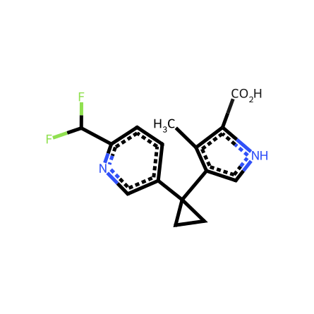 Cc1c(C2(c3ccc(C(F)F)nc3)CC2)c[nH]c1C(=O)O